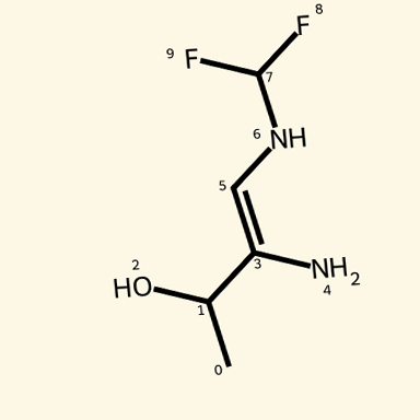 CC(O)/C(N)=C/NC(F)F